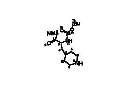 CNC(=O)[C@@H](CC1CCNCC1)NC(=O)OC(C)(C)C